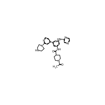 CC(=O)N1CCC(C(=O)Nc2cc(Nc3cnccn3)nc(-c3ccnc(N4CCNCC4)c3)c2)CC1